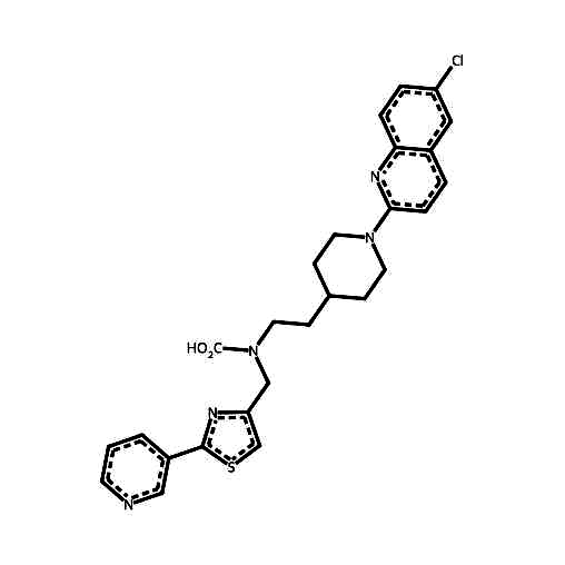 O=C(O)N(CCC1CCN(c2ccc3cc(Cl)ccc3n2)CC1)Cc1csc(-c2cccnc2)n1